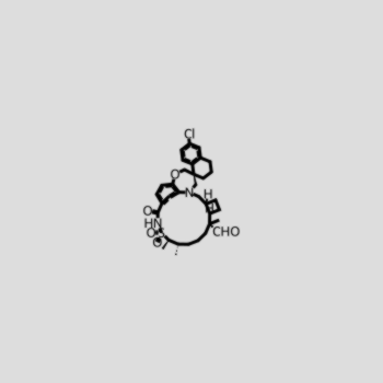 C[C@@H]1[C@@H](C)CCC[C@](C)(C=O)[C@@H]2CC[C@H]2CN2C[C@@]3(CCCc4cc(Cl)ccc43)COc3ccc(cc32)C(=O)NS1(=O)=O